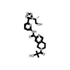 C[C@H](CO)n1nnnc1-c1cccc(NC(=O)c2cc3c(cn2)CCN(C(=O)C(C)(C)O)C3)n1